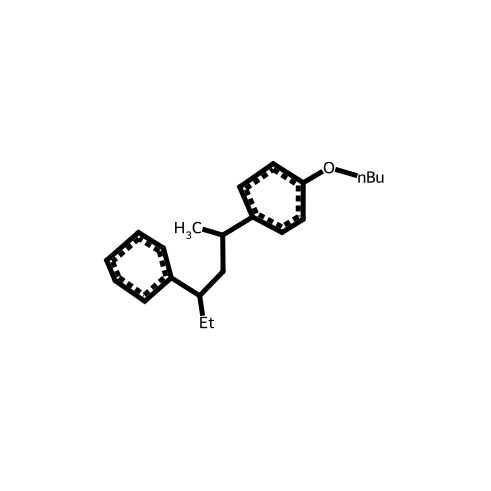 CCCCOc1ccc(C(C)CC(CC)c2ccccc2)cc1